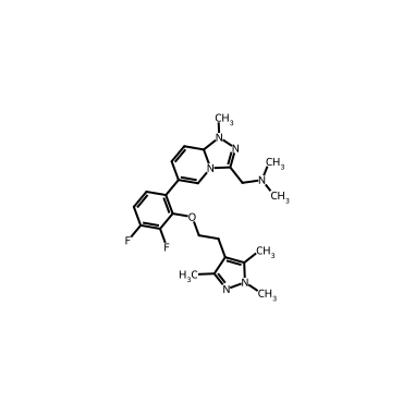 Cc1nn(C)c(C)c1CCOc1c(C2=CN3C(CN(C)C)=NN(C)C3C=C2)ccc(F)c1F